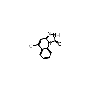 O=c1[nH]nc2cc(Cl)c3ccccc3n12